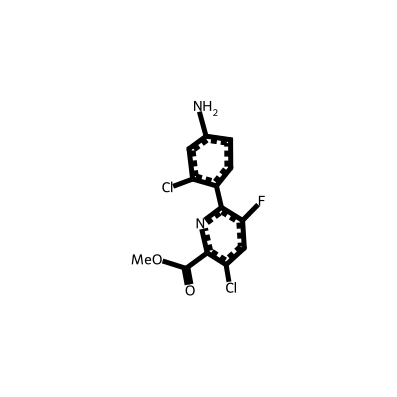 COC(=O)c1nc(-c2ccc(N)cc2Cl)c(F)cc1Cl